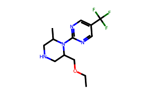 CCOCC1CNCC(C)N1c1ncc(C(F)(F)F)cn1